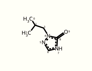 CC(C)Cn1nc[nH]c1=O